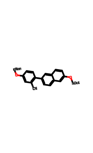 CCCCCCCCCOc1ccc(-c2ccc3cc(OCCCCCCCC)ccc3c2)c(C#N)c1